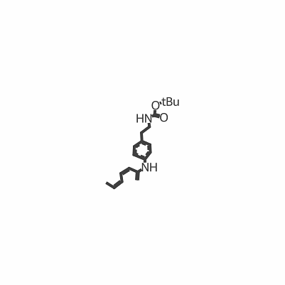 C=C(/C=C\C=C/C)Nc1ccc(CCNC(=O)OC(C)(C)C)cc1